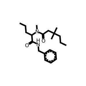 CCCC(C(=O)NCc1ccccc1)N(C)C(=O)CC(C)(C)CCC